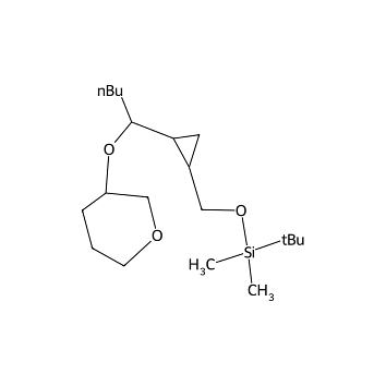 CCCCC(OC1CCCOC1)C1CC1CO[Si](C)(C)C(C)(C)C